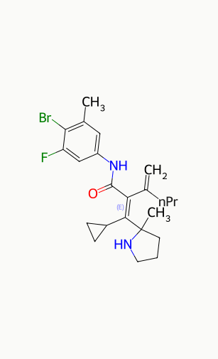 C=C(CCC)/C(C(=O)Nc1cc(C)c(Br)c(F)c1)=C(/C1CC1)C1(C)CCCN1